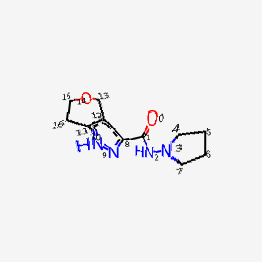 O=C(NN1CCCC1)c1n[nH]c2c1COCC2